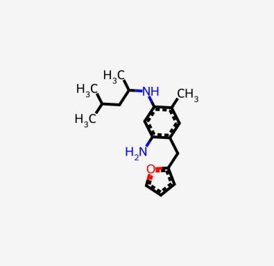 Cc1cc(Cc2ccco2)c(N)cc1NC(C)CC(C)C